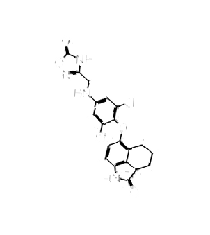 CC[C@@]12CCCc3c(Oc4c(Cl)cc(NCc5noc(=O)[nH]5)cc4Cl)ccc(c31)NC2=O